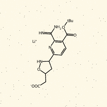 CC(C)(C)OC(=O)c1ccc(C2CC(CC(=O)[O-])ON2)nc1C(=N)N.[Li+]